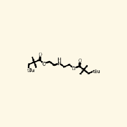 CC(C)(C)CC(C)(C)C(=O)OCCNCCOC(=O)C(C)(C)CC(C)(C)C